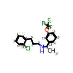 C[C@H](NCCCc1ccccc1Cl)c1cccc(OC(F)(F)F)c1